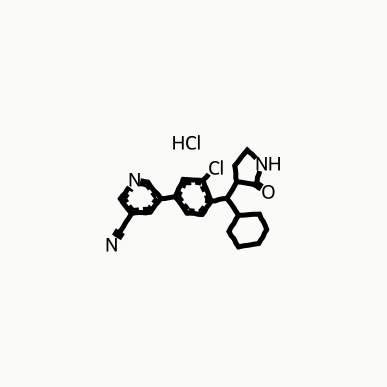 Cl.N#Cc1cncc(-c2ccc(C(C3CCCCC3)C3CCNC3=O)c(Cl)c2)c1